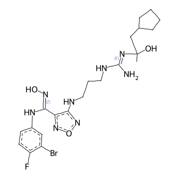 CC(O)(CC1CCCC1)/N=C(\N)NCCCNc1nonc1/C(=N/O)Nc1ccc(F)c(Br)c1